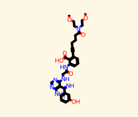 COCCN(CCOC)C(=O)CCCC#Cc1cccc(NC(=O)CNc2ncnc(N)c2C(=N)c2cccc(O)c2)c1C(=O)O